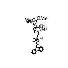 CCC(C)CN(CC(OC)OC)C(=O)C(C)NC(=O)CCNC(=O)OCC1c2ccccc2-c2ccccc21